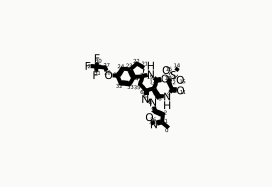 Cc1cc(-n2nc3c(c2NC(=O)CS(C)(=O)=O)C(=O)N[C@@]2(CCc4cc(OCC(F)(F)F)ccc42)C3)on1